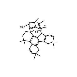 C[C](C)=[Zr]([Cl])([Cl])([C]1=CC(C(C)(C)C)=CC1C)[CH]1C2=C(CC(C)(C)C=C2)c2c3c(c4c(c21)C(C)(C)CCC4(C)C)C=CC(C)(C)C3